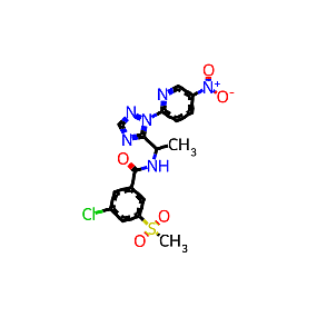 CC(NC(=O)c1cc(Cl)cc(S(C)(=O)=O)c1)c1ncnn1-c1ccc([N+](=O)[O-])cn1